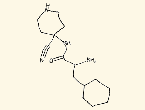 N#CC1(NC(=O)C(N)CC2CCCCC2)CCNCC1